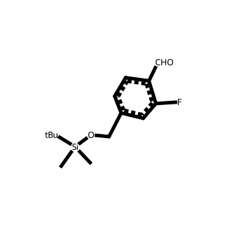 CC(C)(C)[Si](C)(C)OCc1ccc(C=O)c(F)c1